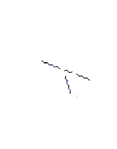 CCC=CC/C=C/CCOC(CCC(=O)OCCCCCCBr)OCC/C=C/C/C=C/CC